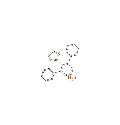 S.c1ccc(-c2cccc(-c3ccccc3)c2-c2cccs2)cc1